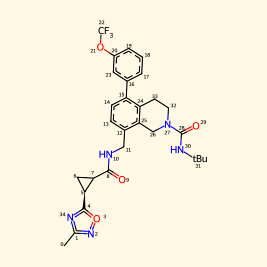 Cc1noc([C@H]2CC2C(=O)NCc2ccc(-c3cccc(OC(F)(F)F)c3)c3c2CN(C(=O)NC(C)(C)C)CC3)n1